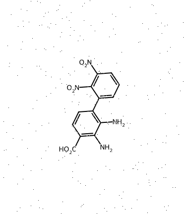 Nc1c(C(=O)O)ccc(-c2cccc([N+](=O)[O-])c2[N+](=O)[O-])c1N